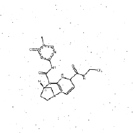 Cn1cnc(NC(=O)N2C3=C(C=CC(C(=O)NCC(F)(F)F)N3)N3CC[C@H]2C3)cc1=O